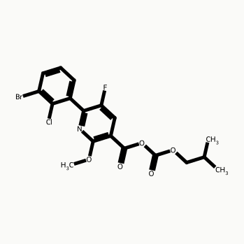 COc1nc(-c2cccc(Br)c2Cl)c(F)cc1C(=O)OC(=O)OCC(C)C